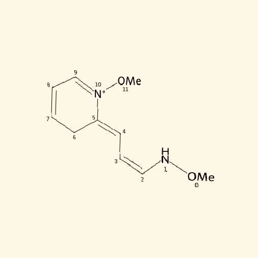 CON/C=C\C=C1/CC=CC=[N+]1OC